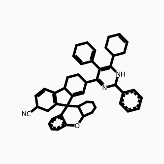 N#CC1C=CC2=C(C1)C1(C3=CC(C4=NC(c5ccccc5)NC(C5CC=CCC5)=C4C4=CCCC=C4)CCC32)c2ccccc2OC2CCCCC21